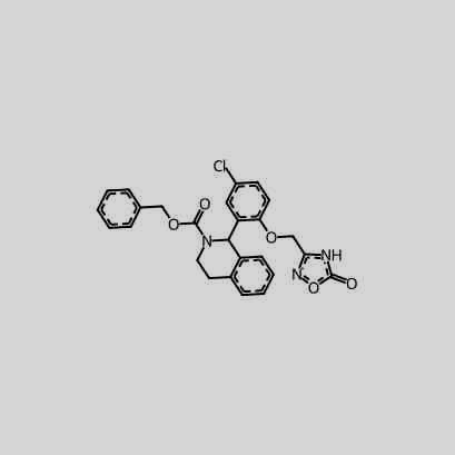 O=C(OCc1ccccc1)N1CCc2ccccc2C1c1cc(Cl)ccc1OCc1noc(=O)[nH]1